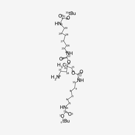 CC(C)(C)OC(=O)NCCCCCCNC(=O)OCC(C)(CCN)OC(=O)NCCCCCCNC(=O)OC(C)(C)C